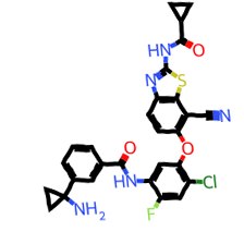 N#Cc1c(Oc2cc(NC(=O)c3cccc(C4(N)CC4)c3)c(F)cc2Cl)ccc2nc(NC(=O)C3CC3)sc12